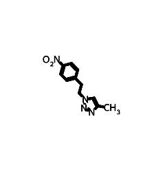 Cc1cn(CCc2ccc([N+](=O)[O-])cc2)nn1